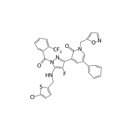 O=C(c1ccccc1C(F)(F)F)n1nc(-c2cc(-c3ccccc3)cn(Cc3ccno3)c2=O)c(F)c1NCc1ccc(Cl)s1